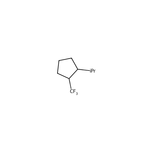 CC(C)C1CCCC1C(F)(F)F